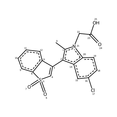 Cc1c(C2=CS(=O)(=O)c3ccccc32)c2cc(Cl)ccc2n1CC(=O)O